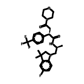 C[C@@H](CN1CC(C)(C)c2cc(F)ccc21)NC(=O)[C@@H](CC(=O)N1CCOCC1)c1ccc(C(F)(F)F)cc1